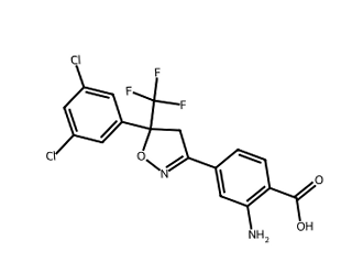 Nc1cc(C2=NOC(c3cc(Cl)cc(Cl)c3)(C(F)(F)F)C2)ccc1C(=O)O